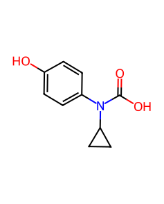 O=C(O)N(c1ccc(O)cc1)C1CC1